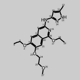 CCOc1cc2cc(Nc3cc(C)[nH]n3)nc(OCC)c2cc1OCCOC